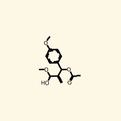 C=C(C(O)OC)C(OC(C)=O)c1ccc(OC)cc1